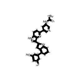 CC(C)(C)C(=O)Nc1cncc(-c2ccc3[nH]nc(-c4cc5c(-c6cc(O)cc(F)c6)cccc5[nH]4)c3n2)c1